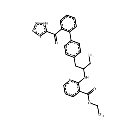 CCOC(=O)c1cccnc1NC(CC)Cc1ccc(-c2ccccc2C(=O)c2nnn[nH]2)cc1